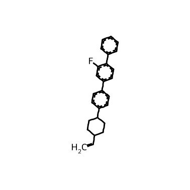 C=CC1CCC(c2ccc(-c3ccc(-c4ccccc4)c(F)c3)cc2)CC1